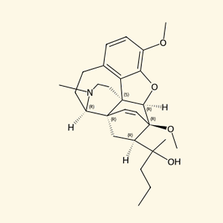 CCCC(C)(O)[C@H]1C[C@@]23C=C[C@]1(OC)[C@@H]1Oc4c(OC)ccc5c4[C@@]12CCN(C)[C@@H]3CC5